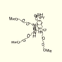 COCCOCCOCCNC(=O)CN(CC(=O)NCCOCCOCCOC)C(Cc1ccc(OP(=O)(S)C(C)C)cc1)C(=O)NCCOCCOCCOC